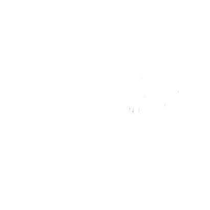 CCc1ccc(C(C)CNC(=O)OC(C)(C)C)cc1